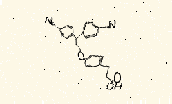 N#Cc1ccc(C(=CCOc2ccc(CCC(=O)O)cc2)c2ccc(C#N)cc2)cc1